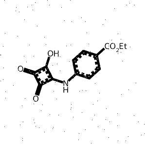 CCOC(=O)c1ccc(Nc2c(O)c(=O)c2=O)cc1